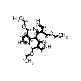 CCOCc1c[nH]nc1C(c1n[nH]cc1COCC)c1n[nH]cc1COCC